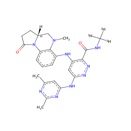 [2H]C([2H])([2H])NC(=O)c1nnc(Nc2cc(C)nc(C)n2)cc1Nc1cccc2c1N(C)C[C@H]1CCC(=O)N21